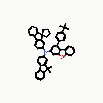 CC(C)(C)c1ccc(-c2cc(N(c3ccc4c(c3)C(C)(C)c3ccccc3-4)c3ccc4c(c3)C3(CCCC3)c3ccccc3-4)cc3oc4ccccc4c23)cc1